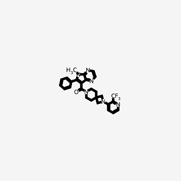 Cn1c(-c2ccccc2)c(C(=O)N2CCC3(CC2)CN(c2cccnc2C(F)(F)F)C3)c2nccnc21